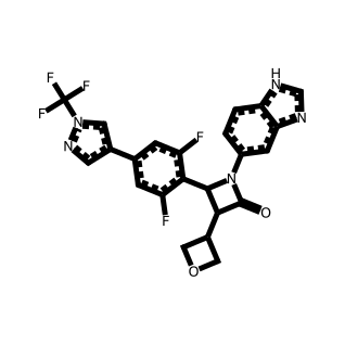 O=C1C(C2COC2)C(c2c(F)cc(-c3cnn(C(F)(F)F)c3)cc2F)N1c1ccc2[nH]cnc2c1